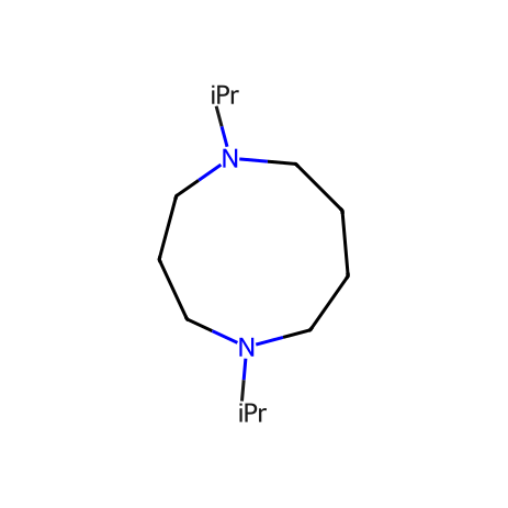 CC(C)N1CCCCN(C(C)C)CCC1